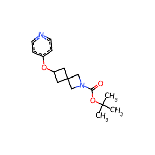 CC(C)(C)OC(=O)N1CC2(CC(Oc3ccncc3)C2)C1